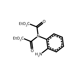 CCOC(=O)C(=O)N(C(=O)C(=O)OCC)c1ccccc1N